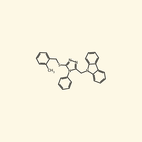 Cc1ccccc1CSc1nnc(Cn2c3ccccc3c3ccccc32)n1-c1ccccc1